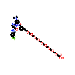 CCN(CC)c1ccc(NC(=O)c2cccc(CCCOCCOCCOCCOCCOCCOCCOCCOCCOCCC(=O)O)c2)c(-c2nccc(C(=O)NCc3cccc(C(F)(F)F)c3)n2)c1